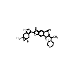 CC(C(=O)N(C)c1cc2nc(-c3n[nH]c4c3C[C@@H]3C[C@]3(C)C4)[nH]c2cc1C#N)N1CCOCC1